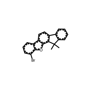 CC1(C)c2ccccc2-c2ccc3c(oc4c(Br)cccc43)c21